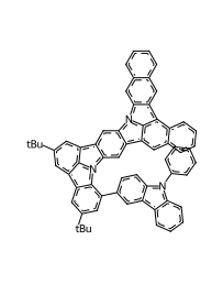 CC(C)(C)c1cc(-c2ccc3c(c2)c2ccccc2n3-c2ccccc2)c2c(c1)c1cc(C(C)(C)C)cc3c4cc5c(cc4n2c31)c1cc2ccccc2c2c3cc4ccccc4cc3n5c12